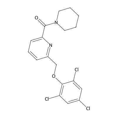 O=C(c1cccc(COc2c(Cl)cc(Cl)cc2Cl)n1)N1CCCCC1